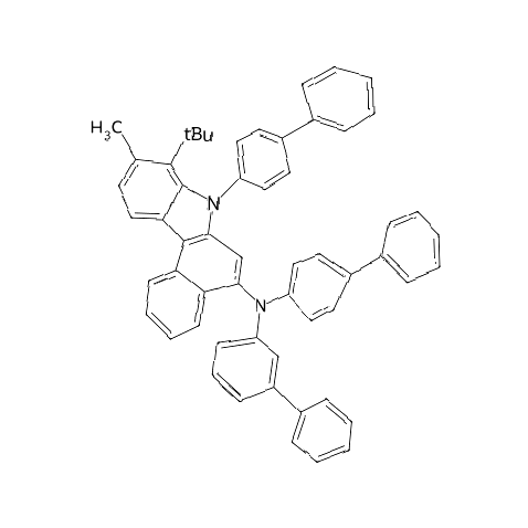 Cc1ccc2c3c4ccccc4c(N(c4ccc(-c5ccccc5)cc4)c4cccc(-c5ccccc5)c4)cc3n(-c3ccc(-c4ccccc4)cc3)c2c1C(C)(C)C